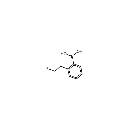 OB(O)c1ccccc1CCF